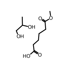 CC(O)CO.COC(=O)CCCCC(=O)O